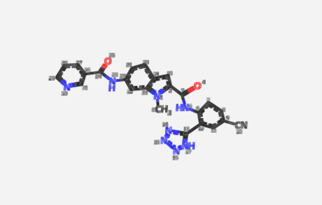 Cn1c(C(=O)Nc2ccc(C#N)cc2-c2nnn[nH]2)cc2ccc(NC(=O)c3cccnc3)cc21